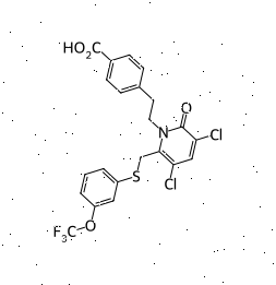 O=C(O)c1ccc(CCn2c(CSc3cccc(OC(F)(F)F)c3)c(Cl)cc(Cl)c2=O)cc1